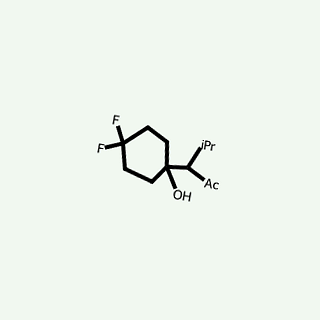 CC(=O)C(C(C)C)C1(O)CCC(F)(F)CC1